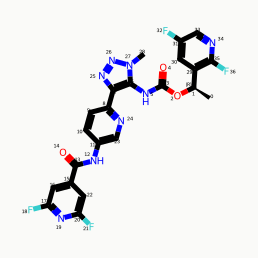 C[C@@H](OC(=O)Nc1c(-c2ccc(NC(=O)c3cc(F)nc(F)c3)cn2)nnn1C)c1cc(F)cnc1F